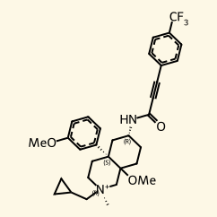 COc1cccc([C@@]23CC[N@+](C)(CC4CC4)CC2(OC)CC[C@@H](NC(=O)C#Cc2ccc(C(F)(F)F)cc2)C3)c1